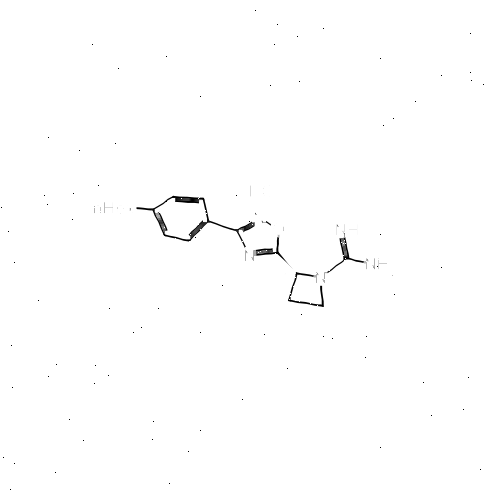 CCCCCCc1ccc(-c2noc([C@@H]3CCN3C(=N)N)n2)cc1.Cl